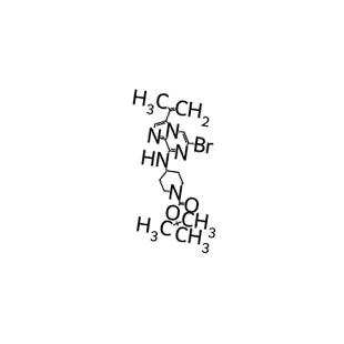 C=C(C)c1cnc2c(NC3CCN(C(=O)OC(C)(C)C)CC3)nc(Br)cn12